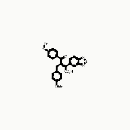 COc1ccc(C/C(C(=O)c2ccc(OC(C)C)cc2)=C(\C(=O)O)c2ccc3nsnc3c2)cc1